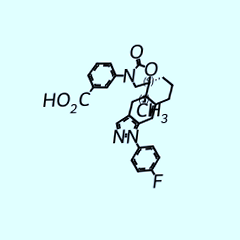 C[C@]12Cc3cnn(-c4ccc(F)cc4)c3C=C1CCC[C@@]21CN(c2cccc(C(=O)O)c2)C(=O)O1